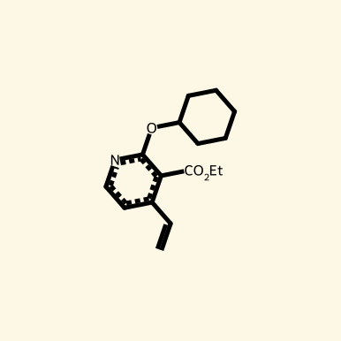 C=Cc1ccnc(OC2CCCCC2)c1C(=O)OCC